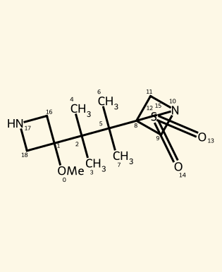 COC1(C(C)(C)C(C)(C)C23CN(C2)S(=O)(=O)C3)CNC1